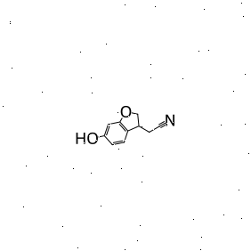 N#CCC1COc2cc(O)ccc21